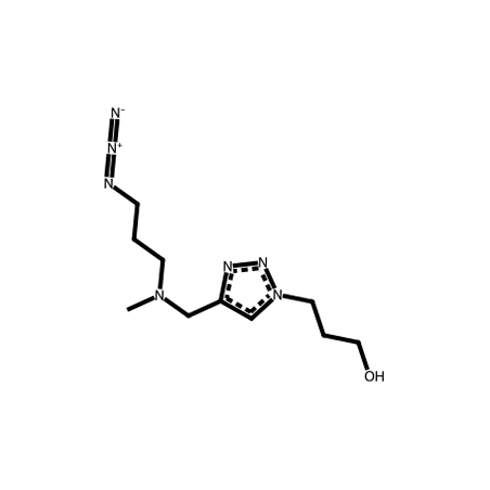 CN(CCCN=[N+]=[N-])Cc1cn(CCCO)nn1